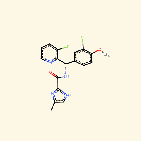 Cc1c[nH]c(C(=O)N[C@@H](c2ccc(OC(F)(F)F)c(F)c2)c2ncccc2F)n1